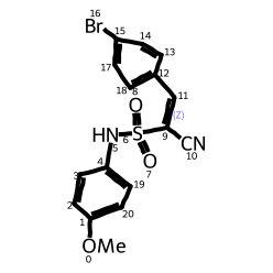 COc1ccc(NS(=O)(=O)/C(C#N)=C\c2ccc(Br)cc2)cc1